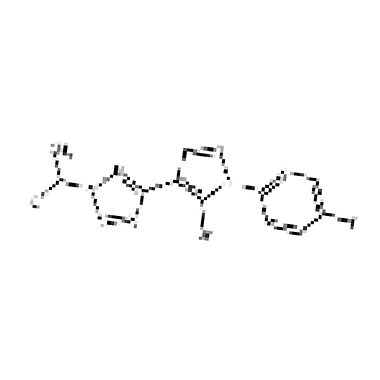 CC(C)n1nnc(-c2cnn(-c3ccc(F)cc3)c2Br)n1